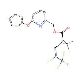 CC1(C)[C@H](C(=O)OCc2cccc(Oc3ccccc3)n2)[C@@H]1/C=C(/F)C(F)(F)F